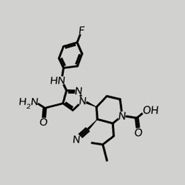 CC(C)CC1[C@@H](C#N)[C@@H](n2cc(C(N)=O)c(Nc3ccc(F)cc3)n2)CCN1C(=O)O